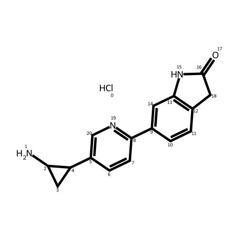 Cl.NC1CC1c1ccc(-c2ccc3c(c2)NC(=O)C3)nc1